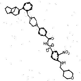 O=C(NS(=O)(=O)c1ccc(NCC2CCOCC2)c([N+](=O)[O-])c1)c1ccc(N2CCN(Cc3ccccc3C3=CCC4C5CCC4C3C5)CC2)cc1